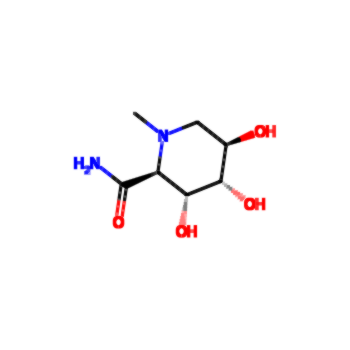 CN1C[C@@H](O)[C@H](O)[C@H](O)[C@H]1C(N)=O